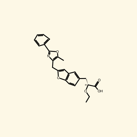 CCO[C@H](Cc1ccc2oc(Cc3nc(-c4ccccc4)oc3C)cc2c1)C(=O)O